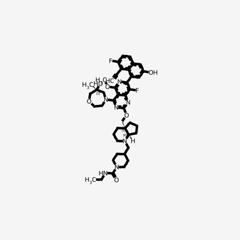 C#Cc1c(F)ccc2cc(O)cc(-c3nc(OC)c4c(N5CCOC[C@@](C)(O)C5)nc(OC[C@]56CCC[C@H]5N(CC5CCN(C(=O)NCC)CC5)CCC6)nc4c3F)c12